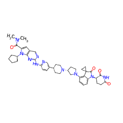 CN(C)C(=O)c1cc2cnc(Nc3ccc(C4CCN([C@@H]5CCN(c6cccc7c6C6(CC6)C(=O)N7[C@@H]6CCC(=O)NC6=O)C5)CC4)cn3)nc2n1C1CCCC1